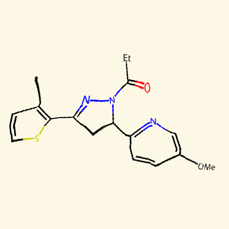 CCC(=O)N1N=C(c2sccc2C)CC1c1ccc(OC)cn1